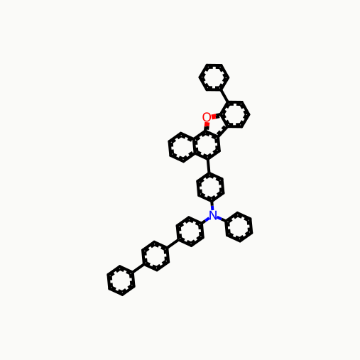 c1ccc(-c2ccc(-c3ccc(N(c4ccccc4)c4ccc(-c5cc6c7cccc(-c8ccccc8)c7oc6c6ccccc56)cc4)cc3)cc2)cc1